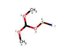 COC(OC)OSI